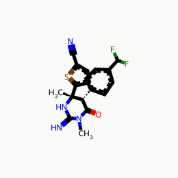 CN1C(=N)N[C@](C)(c2ccc(C#N)s2)[C@H](c2ccc(C(F)F)cc2)C1=O